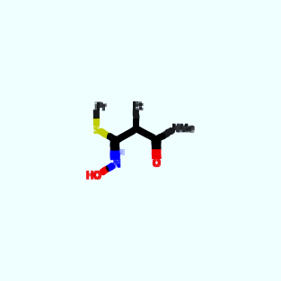 CCC(C(=O)NC)/C(=N/O)SC(C)C